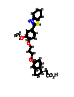 CCCOc1cc(-c2nc3c(s2)CCCC3)ccc1OCCCOc1ccc2c(c1)CC[C@H]2CC(=O)O